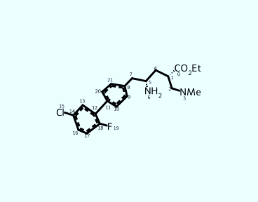 CCOC(=O)[C@H](CNC)C[C@H](N)Cc1ccc(-c2cc(Cl)ccc2F)cc1